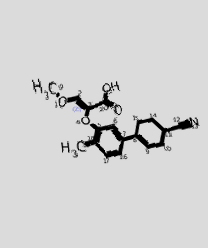 CO/C=C(\Oc1cc(C2=CCC(C#N)CC2)ccc1C)C(=O)O